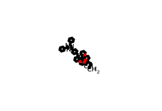 C=C/C=C\c1c(C)oc2c(C3(c4ccccc4)c4ccccc4N(c4ccc(-c5nc(-c6ccccc6)nc(-c6ccccc6)n5)cc4)c4ccccc43)cccc12